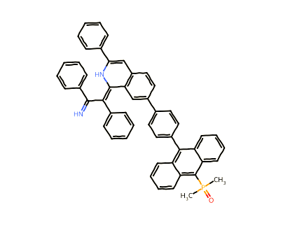 CP(C)(=O)c1c2ccccc2c(-c2ccc(-c3ccc4c(c3)/C(=C(/C(=N)c3ccccc3)c3ccccc3)NC(c3ccccc3)=C4)cc2)c2ccccc12